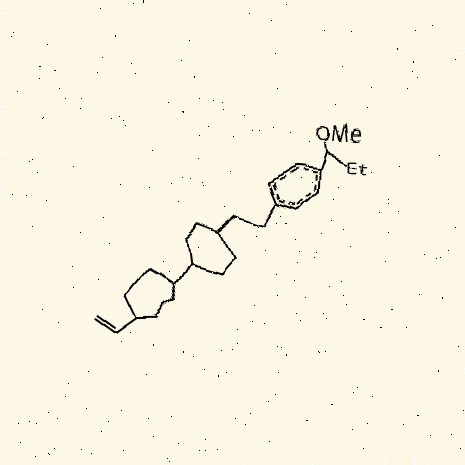 C=CC1CCC(C2CCC(CCc3ccc(C(CC)OC)cc3)CC2)CC1